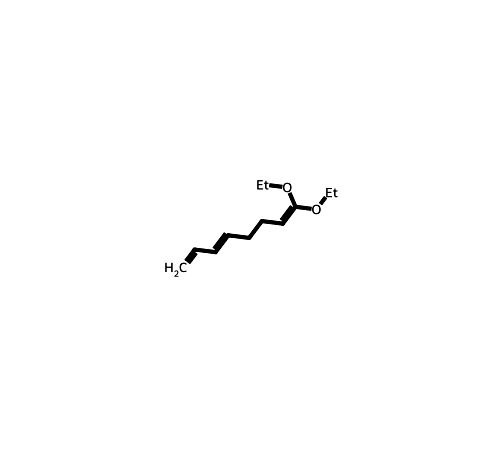 C=CC=CCCC=C(OCC)OCC